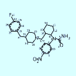 NC(=O)N(c1ccc([N+](=O)[O-])cc1)C1CCCCC1CN1CCC(Cc2ccc(F)cc2)CC1